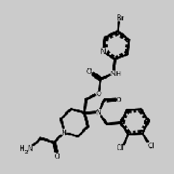 NCC(=O)N1CCC(COC(=O)Nc2ccc(Br)cn2)(N(C=O)Cc2cccc(Cl)c2Cl)CC1